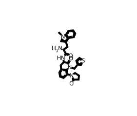 Cn1cc(C[C@@H](N)C(=O)NC2Cc3cccc(N4CCCC4=O)c3N(Cc3ccsc3)C2=O)c2ccccc21